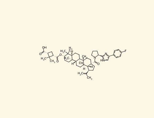 C=C(C)[C@@H]1CC[C@]2(C(=O)N3CCC[C@H]3c3nc(-c4ccc(F)cc4)c[nH]3)CC[C@]3(C)[C@H](CC[C@@H]4[C@@]5(C)CC[C@H](OC(=O)[C@H]6C[C@@H](C(=O)O)C6(C)C)C(C)(C)[C@@H]5CC[C@]43C)[C@@H]12